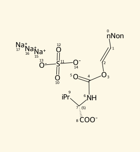 CCCCCCCCCC=COC(=O)N[C@H](C(=O)[O-])C(C)C.O=S(=O)([O-])[O-].[Na+].[Na+].[Na+]